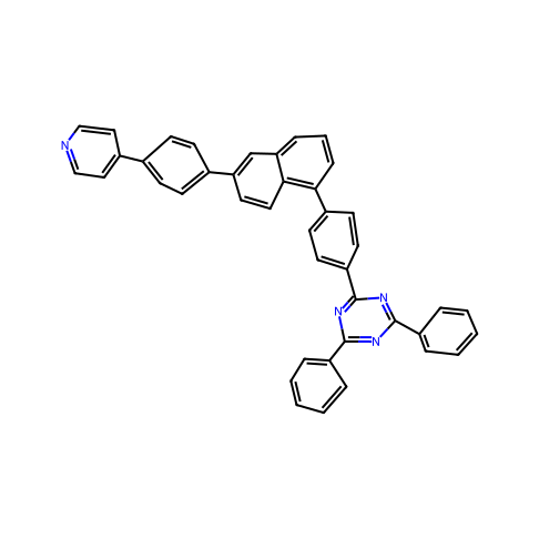 c1ccc(-c2nc(-c3ccccc3)nc(-c3ccc(-c4cccc5cc(-c6ccc(-c7ccncc7)cc6)ccc45)cc3)n2)cc1